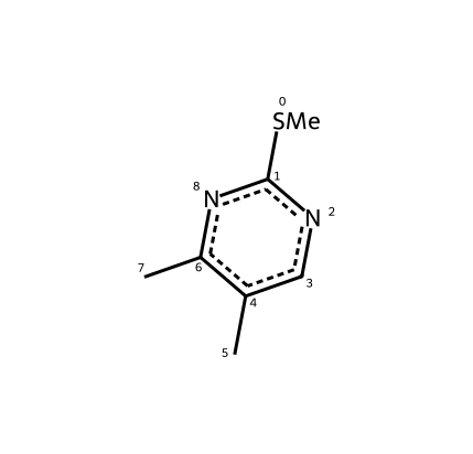 CSc1ncc(C)c(C)n1